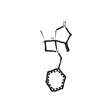 C=C1CNC[C@]12[C@@H](C)CN2Cc1ccccc1